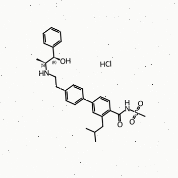 CC(C)Cc1cc(-c2ccc(CCN[C@@H](C)[C@H](O)c3ccccc3)cc2)ccc1C(=O)NS(C)(=O)=O.Cl